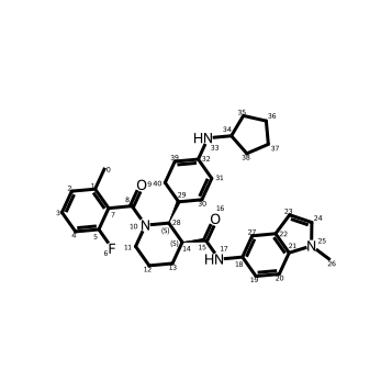 Cc1cccc(F)c1C(=O)N1CCC[C@H](C(=O)Nc2ccc3c(ccn3C)c2)[C@@H]1C1C=CC(NC2CCCC2)=CC1